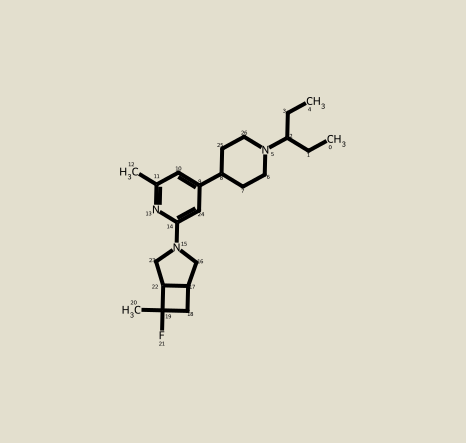 CCC(CC)N1CCC(c2cc(C)nc(N3CC4CC(C)(F)C4C3)c2)CC1